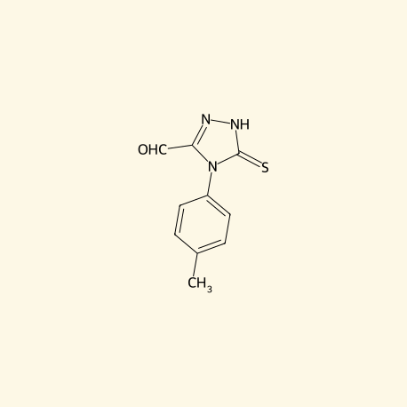 Cc1ccc(-n2c(C=O)n[nH]c2=S)cc1